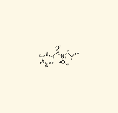 C=CCN(OC)C(=O)c1ccccc1